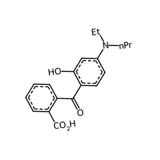 CCCN(CC)c1ccc(C(=O)c2ccccc2C(=O)O)c(O)c1